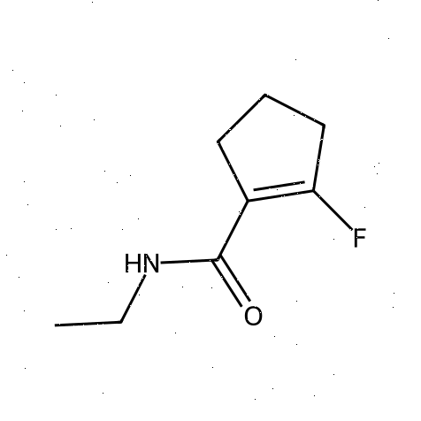 CCNC(=O)C1=C(F)CCC1